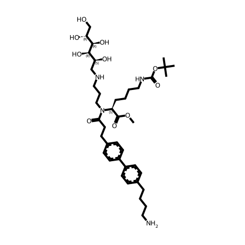 COC(=O)[C@H](CCCCNC(=O)OC(C)(C)C)N(CCCNC[C@H](O)[C@@H](O)[C@H](O)[C@H](O)CO)C(=O)CCc1ccc(-c2ccc(CCCCN)cc2)cc1